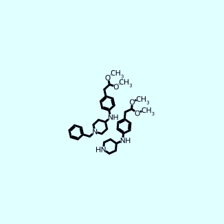 COC(Cc1ccc(NC2CCN(Cc3ccccc3)CC2)cc1)OC.COC(Cc1ccc(NC2CCNCC2)cc1)OC